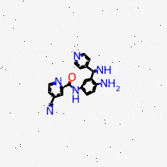 N#Cc1ccnc(C(=O)Nc2ccc(N)c(C(=N)c3ccncc3)c2)c1